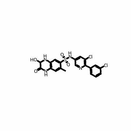 Cc1cc2c(cc1S(=O)(=O)Nc1cnc(-c3cccc(Cl)c3)c(Cl)c1)NC(O)C(=O)N2